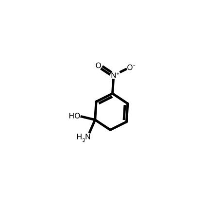 NC1(O)C=C([N+](=O)[O-])C=CC1